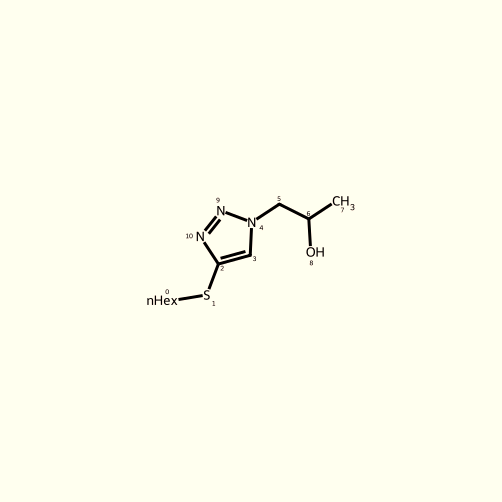 CCCCCCSc1cn(CC(C)O)nn1